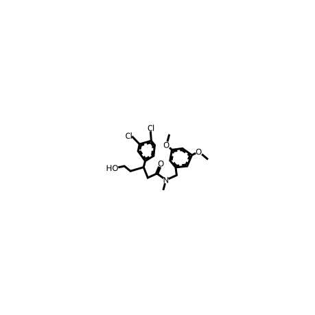 COc1cc(CN(C)C(=O)CC(CCO)c2ccc(Cl)c(Cl)c2)cc(OC)c1